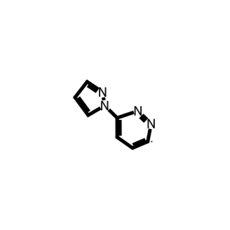 [c]1ccc(-n2cccn2)nn1